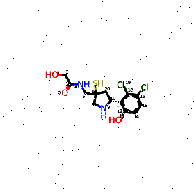 O=C(CO)NCC1(S)CN[C@@H](c2c(O)ccc(Cl)c2Cl)C1